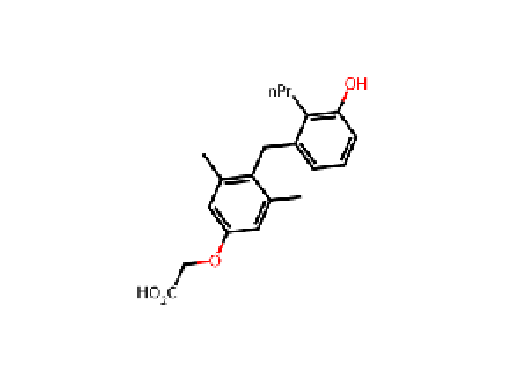 CCCc1c(O)cccc1Cc1c(C)cc(OCC(=O)O)cc1C